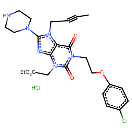 CC#CCn1c(N2CCNCC2)nc2c1c(=O)n(CCOc1ccc(Cl)cc1)c(=O)n2CC(=O)OCC.Cl